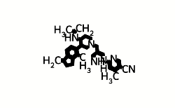 C=C(C)NC1CCN(C/C(C=N)=C/Nc2cc(C)c(C#N)cn2)CC1c1ccc2c(c1C)CCC2=C